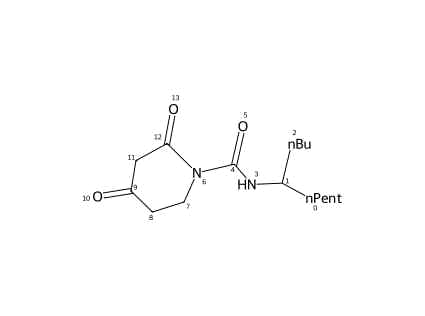 CCCCCC(CCCC)NC(=O)N1CCC(=O)CC1=O